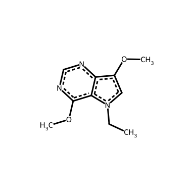 CCn1cc(OC)c2ncnc(OC)c21